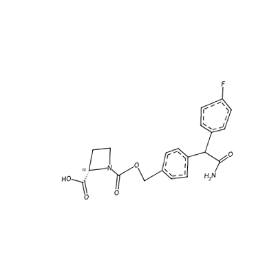 NC(=O)C(c1ccc(F)cc1)c1ccc(COC(=O)N2CC[C@H]2C(=O)O)cc1